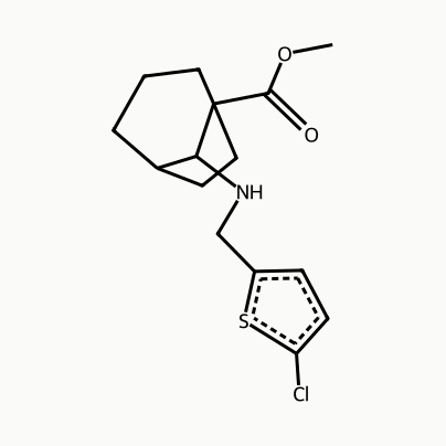 COC(=O)C12CCCC(CC1)C2NCc1ccc(Cl)s1